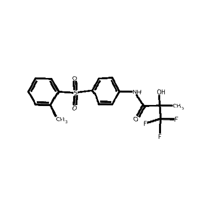 Cc1ccccc1S(=O)(=O)c1ccc(NC(=O)C(C)(O)C(F)(F)F)cc1